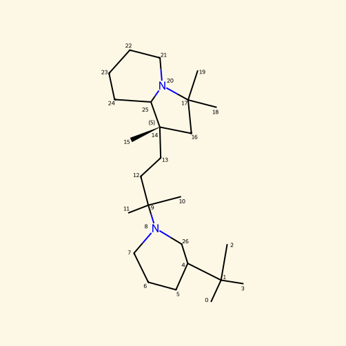 CC(C)(C)C1CCCN(C(C)(C)CC[C@@]2(C)CC(C)(C)N3CCCCC32)C1